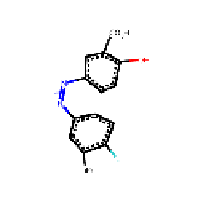 CC(C)c1cc(/N=N\c2ccc(O)c(C(=O)O)c2)ccc1F